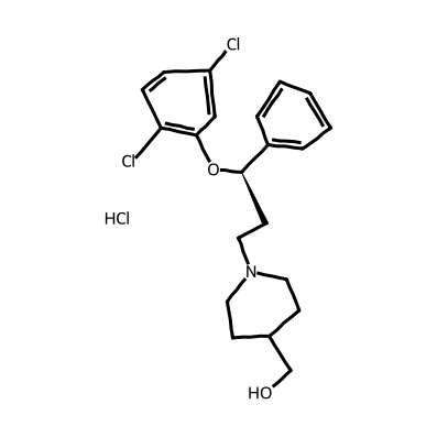 Cl.OCC1CCN(CC[C@@H](Oc2cc(Cl)ccc2Cl)c2ccccc2)CC1